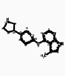 Cc1c[nH]c2ncnc(Oc3ccc(C4CCNC4)cc3)c12